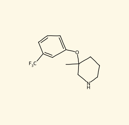 CC1(Oc2cccc(C(F)(F)F)c2)CCCNC1